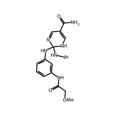 COCC(=O)Nc1cccc(NC2(NC(C)C)N=CC(C(N)=O)=CN2)c1